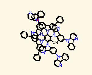 N#Cc1c(-n2c3ccc(-n4c5ccccc5c5ncccc54)cc3c3ncccc32)c(-n2c3ccc(-c4ccccc4)cc3c3cc(-c4ccccc4)ccc32)c(-n2c3ccc(-n4c5ccccc5c5ncccc54)cc3c3ncccc32)c(-n2c3ccc(-c4ccccc4)cc3c3cc(-c4ccccc4)ccc32)c1-n1c2ccc(-n3c4ccccc4c4ncccc43)cc2c2ncccc21